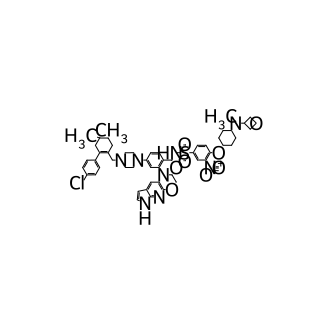 CN(C1CCC(Oc2ccc(S(=O)(=O)NC(=O)c3ccc(N4CCN(CC5=C(c6ccc(Cl)cc6)CC(C)(C)CC5)CC4)cc3N3CCOc4nc5[nH]ccc5cc43)cc2[N+](=O)[O-])CC1)C1COC1